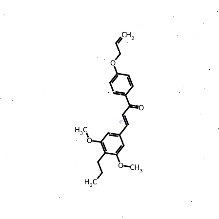 C=CCOc1ccc(C(=O)/C=C/c2cc(OC)c(CCC)c(OC)c2)cc1